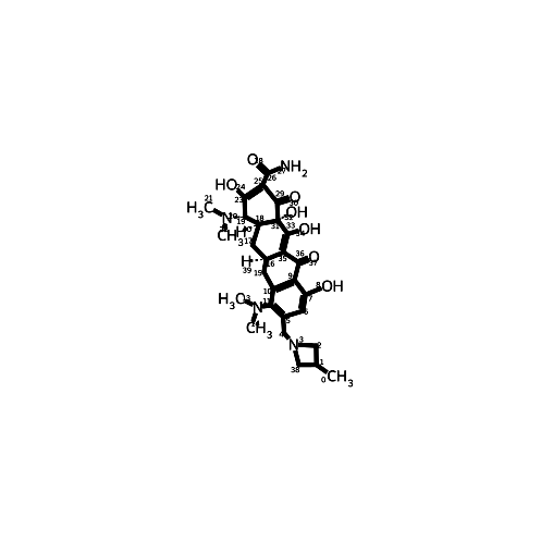 CC1CN(Cc2cc(O)c3c(c2N(C)C)C[C@H]2C[C@H]4[C@H](N(C)C)C(O)=C(C(N)=O)C(=O)[C@@]4(O)C(O)=C2C3=O)C1